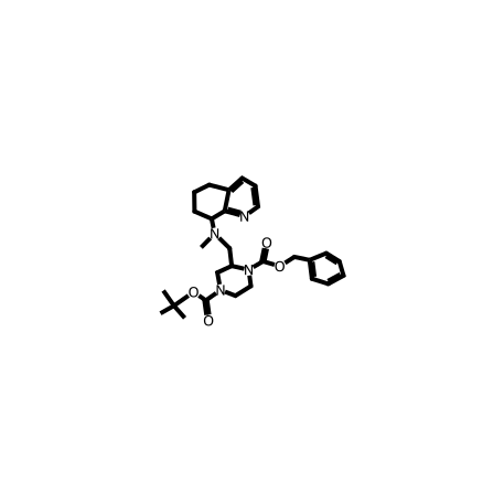 CN(CC1CN(C(=O)OC(C)(C)C)CCN1C(=O)OCc1ccccc1)C1CCCc2cccnc21